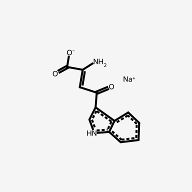 NC(=CC(=O)c1c[nH]c2ccccc12)C(=O)[O-].[Na+]